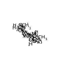 CC1COCCN1c1nc(Cl)nc(OCC2CN(C(=O)OC(C)(C)C)CCN2)c1C(=O)O